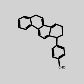 O=Cc1ccc(C2CCC=c3c2ccc2c3=CCc3ccccc3-2)cc1